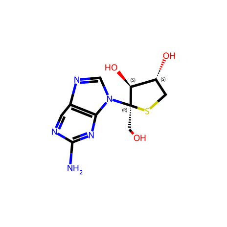 Nc1ncc2ncn([C@]3(CO)SC[C@@H](O)[C@@H]3O)c2n1